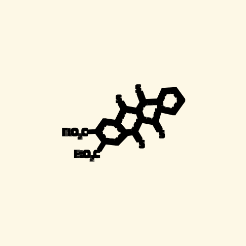 CCOC(=O)c1cc2c(=S)c3c(=S)c4ccccc4c(=S)c=3c(=S)c2cc1C(=O)OCC